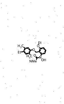 CCOc1cccc(N(O)C(=O)NC)c1COc1cc(C)c(CC)cc1C